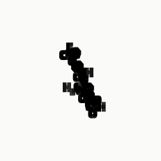 COc1c(COC(=O)Nc2ccc(Oc3cccc(F)c3Cl)cc2)ccc2c1C(=O)N(C1CCC(=O)NC1=O)C2